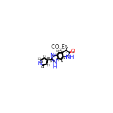 CCOC(=O)C1C(=O)Nc2cc3[nH]c(-c4ccncc4)nc3cc21